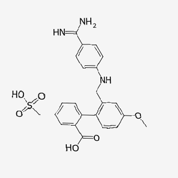 COc1ccc(-c2ccccc2C(=O)O)c(CNc2ccc(C(=N)N)cc2)c1.CS(=O)(=O)O